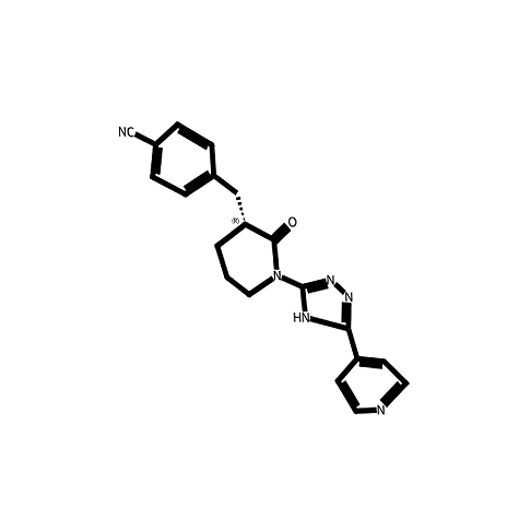 N#Cc1ccc(C[C@H]2CCCN(c3nnc(-c4ccncc4)[nH]3)C2=O)cc1